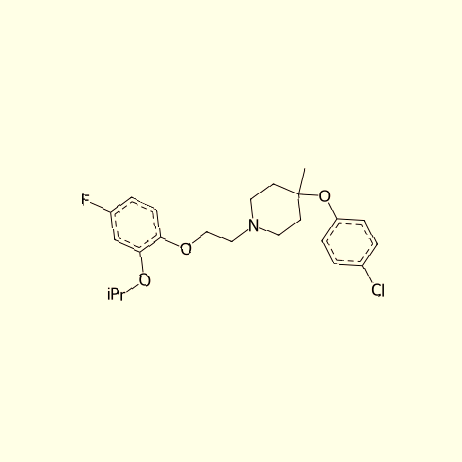 CC(C)Oc1cc(F)ccc1OCCN1CCC(C)(Oc2ccc(Cl)cc2)CC1